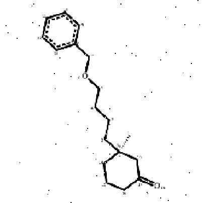 C[C@@]1(CCCCOCc2ccccc2)CCCC(=O)C1